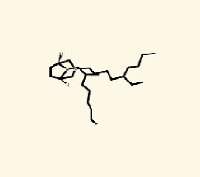 CCCCCCC(C)CN1[C@@H]2CC[C@H]1CN(CCCCC(CC)CCCC)C2